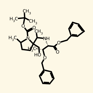 CC1CCC(CO)(C(C)N[C@H](C(=O)OCc2ccccc2)[C@@H](C)OCc2ccccc2)N1C(=O)OC(C)(C)C